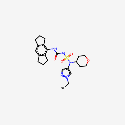 N#CCn1cc(N(C2CCOCC2)S(=O)(=O)NC(=O)Nc2c3c(cc4c2CCC4)CCC3)cn1